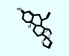 C=CC1CC2=CC(=N)CC[C@@H]2C2CC[C@@]3(C)C(CC[C@@]34C=CCO4)C12